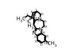 CCC1(C)CC2CC3c4nc5ccc(C)cc5n4CCN(C2)C31